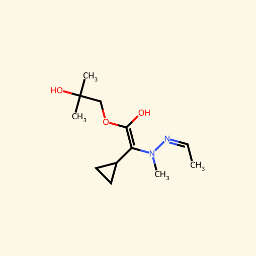 C/C=N\N(C)/C(=C(\O)OCC(C)(C)O)C1CC1